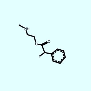 CNCCOC(=O)C(I)c1ccccc1